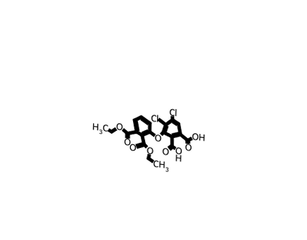 CCOC(=O)c1cccc(Oc2c(Cl)c(Cl)cc(C(=O)O)c2C(=O)O)c1C(=O)OCC